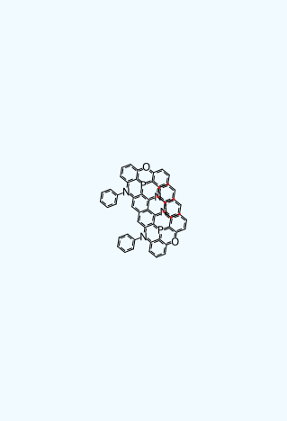 c1ccc(-n2c3cccc4oc5cccc6c5p(c43)c3c2cc2cc4c5c(c2c3n6-c2ccccc2)n(-c2ccccc2)c2cccc3oc6cccc(c6p5c32)n4-c2ccccc2)cc1